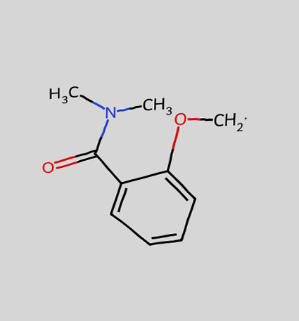 [CH2]Oc1ccccc1C(=O)N(C)C